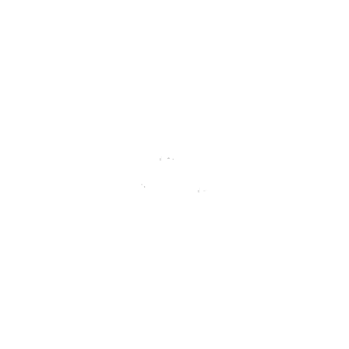 [CH2]CCCCCC(CCCCCCCCC)CCCCCCCCCCCC